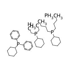 CCCCP(CCCC)C1CCCCC1.CCP(CC)C1CCCCC1.P.c1ccc(P(c2ccccc2)C2CCCCC2)cc1